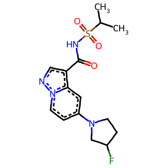 CC(C)S(=O)(=O)NC(=O)c1cnn2ccc(N3CCC(F)C3)cc12